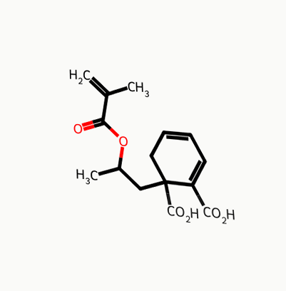 C=C(C)C(=O)OC(C)CC1(C(=O)O)CC=CC=C1C(=O)O